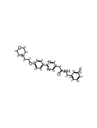 O=C(Cc1cnc(-c2ccc(OCCN3CCOCC3)cc2)nc1)NCc1cccc(F)c1